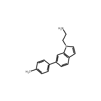 Cc1ccc(-c2ccc3ccn(CCN)c3c2)cc1